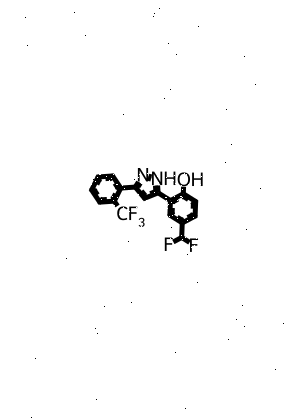 Oc1ccc(C(F)F)cc1-c1cc(-c2ccccc2C(F)(F)F)n[nH]1